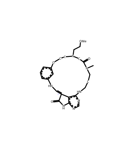 COCCN1CCOc2cccc(c2)N/C=C2\C(=O)Nc3ncnc(c32)NCCCN(C)C(=O)C1